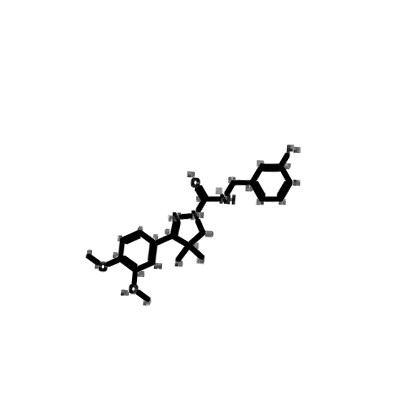 COc1ccc(C2=NN(C(=O)NCc3cccc(F)c3)CC2(C)C)cc1OC